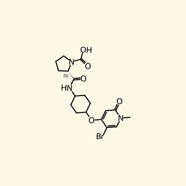 Cn1cc(Br)c(OC2CCC(NC(=O)[C@@H]3CCCN3C(=O)O)CC2)cc1=O